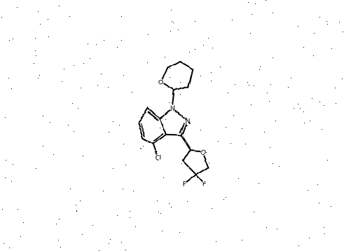 FC1(F)COC(c2nn(C3CCCCO3)c3cccc(Cl)c23)C1